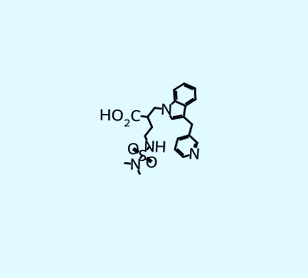 CN(C)S(=O)(=O)NCCC(Cn1cc(Cc2cccnc2)c2ccccc21)C(=O)O